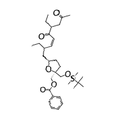 CCC(/C=C\C(=O)C(CC)CC(C)=O)C[C@H]1CC[C@@](COC(=O)c2ccccc2)(CO[Si](C)(C)C(C)(C)C)O1